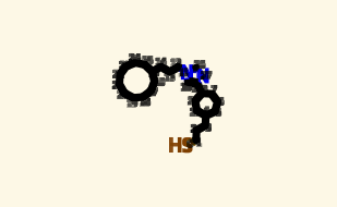 SCCCC1CCCC(c2cn(CCCC3CCCCCCCCCC3)cn2)CC1